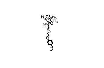 CC(C)(C)OC(=O)NCCOCCOc1ccc(C=O)cc1